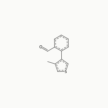 Cc1cscc1-c1ccccc1C=O